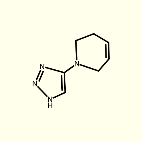 C1=CCN(c2c[nH]nn2)CC1